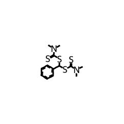 CN(C)C(=S)SC(SC(=S)N(C)C)c1ccccc1